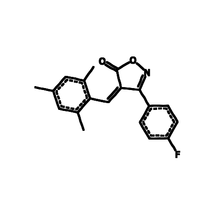 Cc1cc(C)c(C=C2C(=O)ON=C2c2ccc(F)cc2)c(C)c1